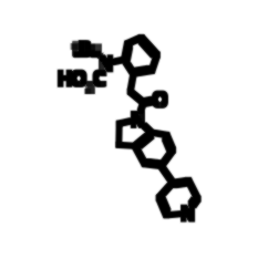 CC(C)(C)N(C(=O)O)c1ccccc1CC(=O)N1CCc2cc(-c3ccncc3)ccc21